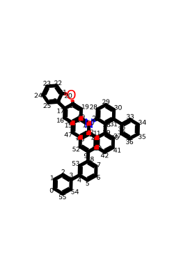 c1ccc(-c2cccc(-c3ccc(N(c4ccc5c(c4)oc4ccccc45)c4cccc(-c5ccccc5)c4-c4ccccc4-c4ccccc4)cc3)c2)cc1